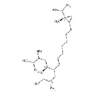 CCCCC(C[C@H](C)C(CCCCCCCC1C[C@@]1(C)C(C)O)C[C@H](C)CC(C)(C)C)C(C)O